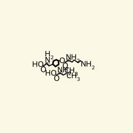 CC(C)C[C@H](N)C(=O)O.NCCCC[C@H](N)C(=O)Oc1ccc(C[C@H](N)C(=O)O)cc1